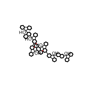 OC1(c2ccc3cc(C4(O)c5ccccc5-c5ccc(-c6ccc7c(c6)-c6ccccc6C7(O)c6c7ccccc7c(C7(O)c8ccccc8-c8ccc(-c9ccc%10c(c9)C(O)(c9ccc(C%11(O)c%12ccccc%12-c%12ccccc%12%11)c%11ccccc9%11)c9ccccc9-%10)cc87)c7ccccc67)cc54)ccc3c2)c2ccccc2-c2ccccc21